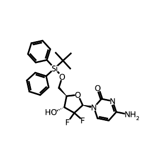 CC(C)(C)[Si](OC[C@H]1O[C@@H](n2ccc(N)nc2=O)C(F)(F)[C@@H]1O)(c1ccccc1)c1ccccc1